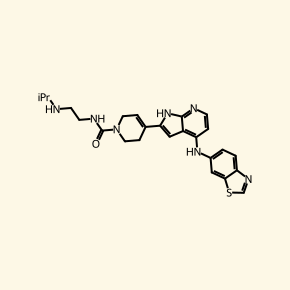 CC(C)NCCNC(=O)N1CC=C(c2cc3c(Nc4ccc5ncsc5c4)ccnc3[nH]2)CC1